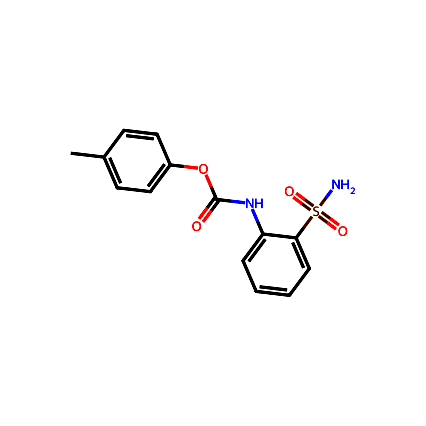 Cc1ccc(OC(=O)Nc2ccccc2S(N)(=O)=O)cc1